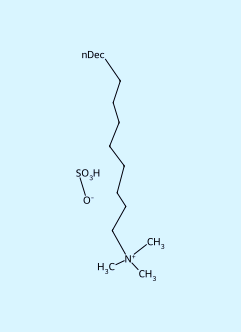 CCCCCCCCCCCCCCCCCC[N+](C)(C)C.O=S(=O)([O-])O